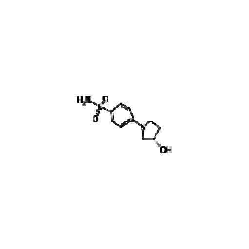 NS(=O)(=O)c1ccc(N2CC[C@H](O)C2)cc1